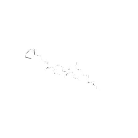 C=CC(=O)NC1CCN(S(=O)(=O)C2CCN(C(=O)NCCc3ccccc3)CC2)C(C)C1